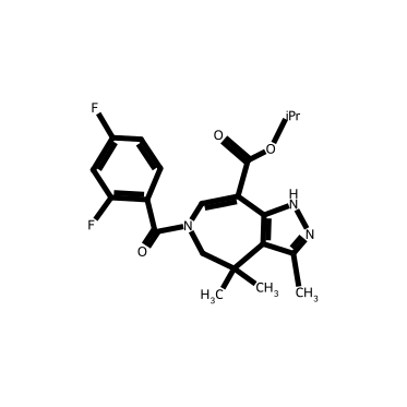 Cc1n[nH]c2c1C(C)(C)CN(C(=O)c1ccc(F)cc1F)C=C2C(=O)OC(C)C